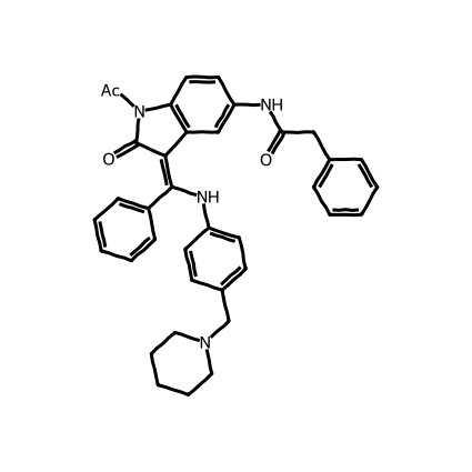 CC(=O)N1C(=O)C(=C(Nc2ccc(CN3CCCCC3)cc2)c2ccccc2)c2cc(NC(=O)Cc3ccccc3)ccc21